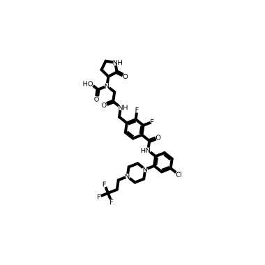 O=C(CN(C(=O)O)C1CCNC1=O)NCc1ccc(C(=O)Nc2ccc(Cl)cc2N2CCN(CCC(F)(F)F)CC2)c(F)c1F